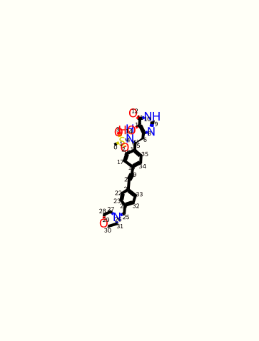 CS(=O)(=O)N[C@@H](Cc1nc[nH]c(=O)c1O)c1ccc(C#Cc2ccc(CN3CCOCC3)cc2)cc1